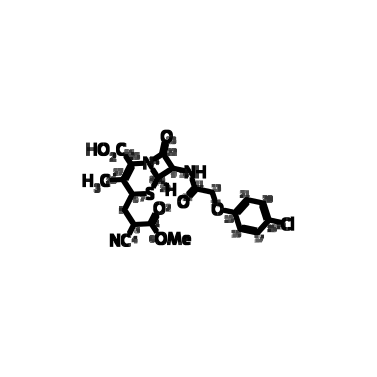 COC(=O)C(C#N)CC1S[C@@H]2C(NC(=O)COc3ccc(Cl)cc3)C(=O)N2C(C(=O)O)=C1C